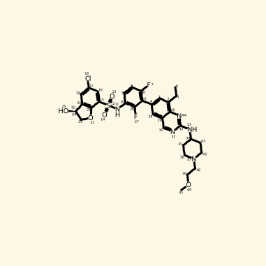 CCc1cc(-c2c(F)ccc(NS(=O)(=O)c3cc(Cl)cc4c3OC[C@H]4O)c2F)cc2cnc(NC3CCN(CCOC)CC3)nc12